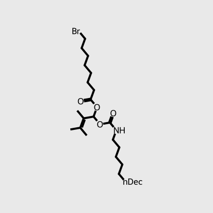 CCCCCCCCCCCCCCCNC(=O)OC(OC(=O)CCCCCCCBr)C(C)=C(C)C